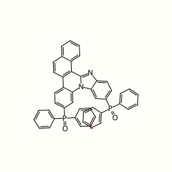 O=P(c1ccccc1)(c1ccccc1)c1ccc2nc3c4c5ccccc5ccc4c4ccc(P(=O)(c5ccccc5)c5ccccc5)cc4n3c2c1